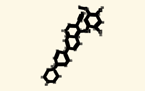 COc1cc(Nc2c(C#N)cnc3cc(-c4ccc(N5CCOCC5)cc4)ccc23)c(Cl)cc1Cl